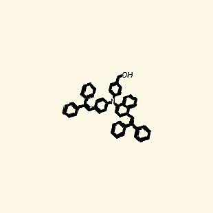 OCc1ccc(N(c2ccc(C=C(c3ccccc3)c3ccccc3)cc2)c2ccc(C=C(c3ccccc3)c3ccccc3)c3ccccc23)cc1